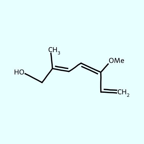 C=C/C(=C\C=C(/C)CO)OC